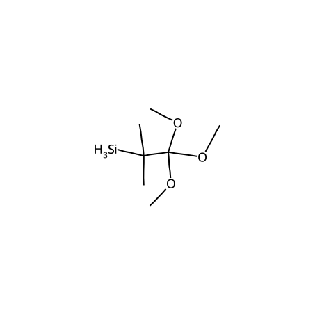 COC(OC)(OC)C(C)(C)[SiH3]